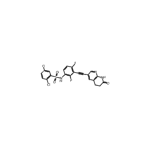 O=C1CCc2cc(C#Cc3c(F)ccc(NS(=O)(=O)c4cc(Cl)ccc4Cl)c3F)cnc2N1